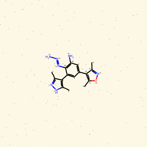 Cc1n[nH]c(C)c1-c1cc(-c2c(C)noc2C)cc(N)c1N=NN